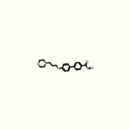 O=NC(=O)c1ccc(-c2ccc(OCCCN3CCOCC3)cc2)cc1